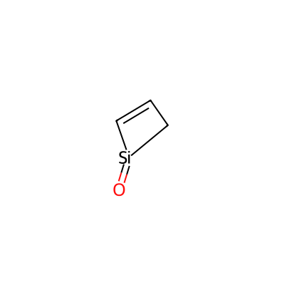 O=[Si]1C=CC1